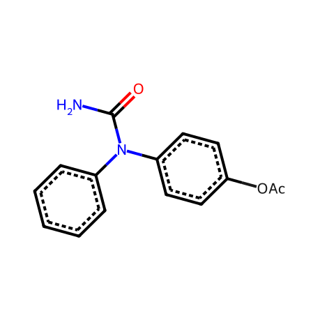 CC(=O)Oc1ccc(N(C(N)=O)c2ccccc2)cc1